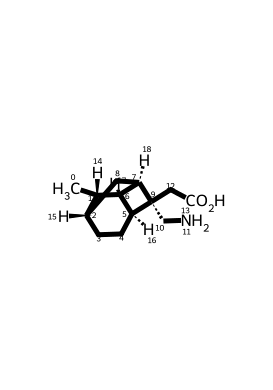 C[C@H]1[C@H]2CC[C@H]3[C@@H]1[C@@H](C2)[C@@]3(CN)CC(=O)O